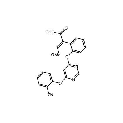 CO/C=C(/C(=O)C=O)c1ccccc1Oc1cc(Oc2ccccc2C#N)ncn1